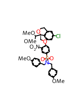 COc1ccc(CN(Cc2ccc(OC)cc2)S(=O)(=O)c2ccc(OC[C@@]3(C(OC)OC)OCCc4cc(Cl)ccc43)c([N+](=O)[O-])c2)cc1